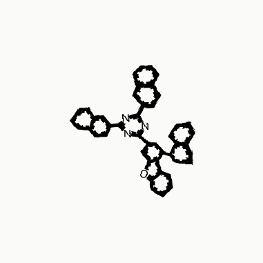 c1ccc2cc(-c3nc(-c4ccc5ccccc5c4)nc(-c4cc(-c5cccc6ccccc56)c5c(c4)oc4ccccc45)n3)ccc2c1